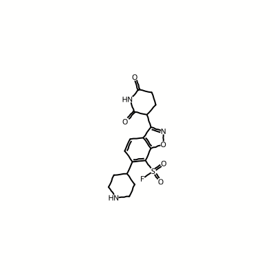 O=C1CCC(c2noc3c(S(=O)(=O)F)c(C4CCNCC4)ccc23)C(=O)N1